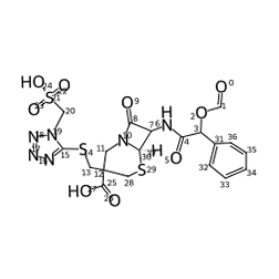 O=COC(C(=O)NC1C(=O)N2CC(CSc3nnnn3CS(=O)(=O)O)(C(=O)O)CS[C@H]12)c1ccccc1